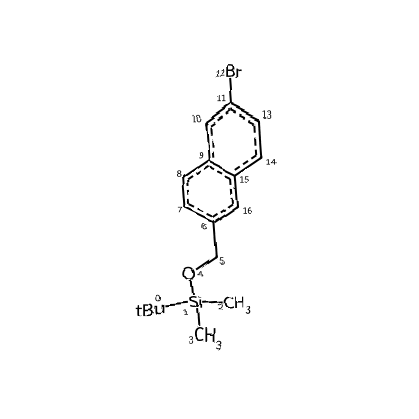 CC(C)(C)[Si](C)(C)OCc1ccc2cc(Br)ccc2c1